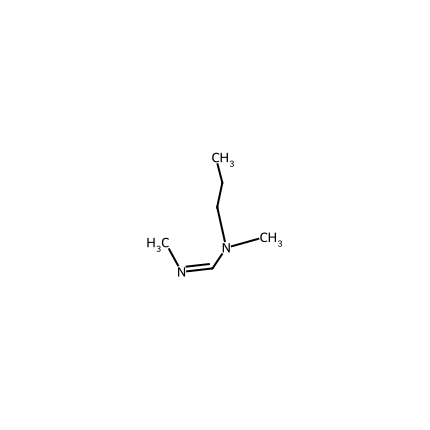 CCCN(C)/C=N\C